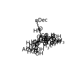 CCCCCCCCCCCCCCCCCC(=O)NCCCC[C@H](NC(=O)CC[C@@H](NC(=O)[C@H](C)NC(=O)[C@@H](C)O[C@H]1C(O)[C@@H](CO)O[C@@H](O)[C@@H]1NC(C)=O)C(N)=O)C(=O)O.CN(C(=O)c1c(O)c2ccccc2n(C)c1=O)c1ccccc1.Cc1cc(=O)c2c(O)cc(O)c([C@H]3CCN(C)C[C@H]3O)c2o1.N